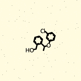 CC(Oc1cccc(Cl)c1)c1ccccc1CO